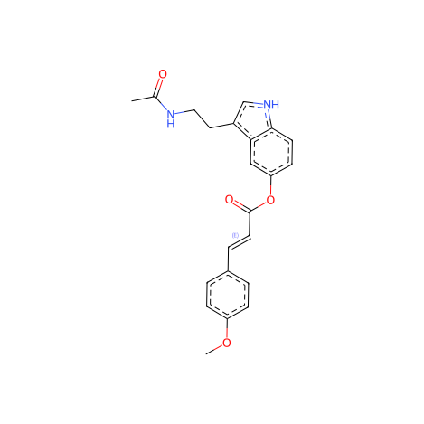 COc1ccc(/C=C/C(=O)Oc2ccc3[nH]cc(CCNC(C)=O)c3c2)cc1